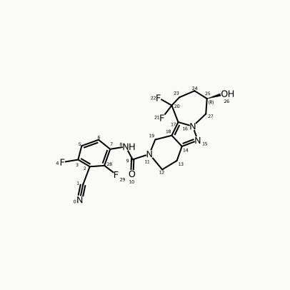 N#Cc1c(F)ccc(NC(=O)N2CCc3nn4c(c3C2)C(F)(F)CC[C@@H](O)C4)c1F